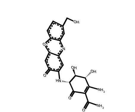 NC(=O)C1=C(N)[C@@H](O)[C@H](O)[C@@H](Nc2cc3nc4cc(CO)ccc4oc-3cc2=O)C1=O